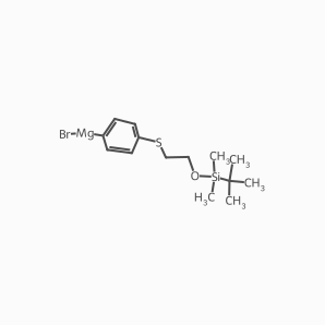 CC(C)(C)[Si](C)(C)OCCSc1cc[c]([Mg][Br])cc1